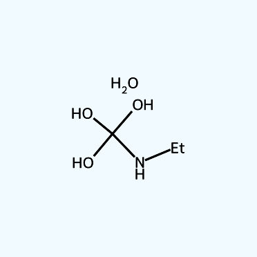 CCNC(O)(O)O.O